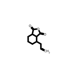 C=CCC1CCCC2C(=O)OC(=O)C12